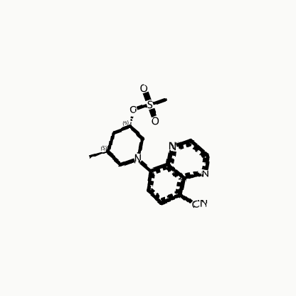 C[C@H]1C[C@H](OS(C)(=O)=O)CN(c2ccc(C#N)c3nccnc23)C1